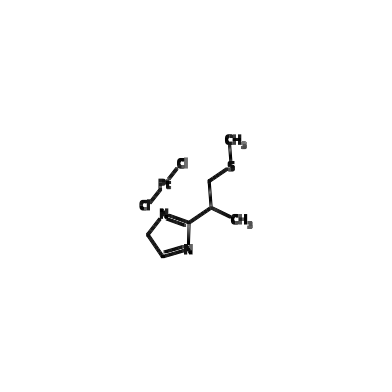 CSCC(C)C1=NCC=N1.[Cl][Pt][Cl]